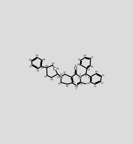 Cc1nc2c(c(=O)n1C(c1ccccc1)c1ccccc1)CN(C1CCC(c3ccccc3)CC1)CC2